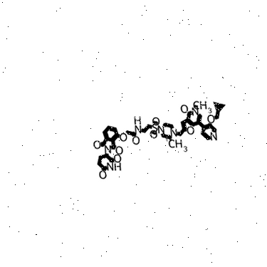 C[C@@H]1CN(S(=O)(=O)CCNC(=O)COc2cccc3c2C(=O)N(C2CCC(=O)NC2=O)C3=O)CCN1Cc1cc2c(=O)n(C)cc(-c3ccncc3OCC3CC3)c2o1